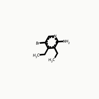 CCc1c(Br)cnc(N)c1CC